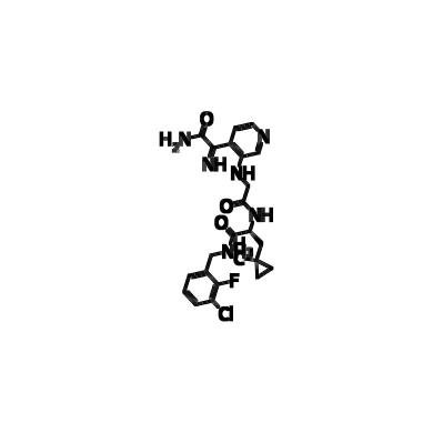 CC1(C[C@H](NC(=O)CNc2cnccc2C(=N)C(N)=O)C(=O)NCc2cccc(Cl)c2F)CC1